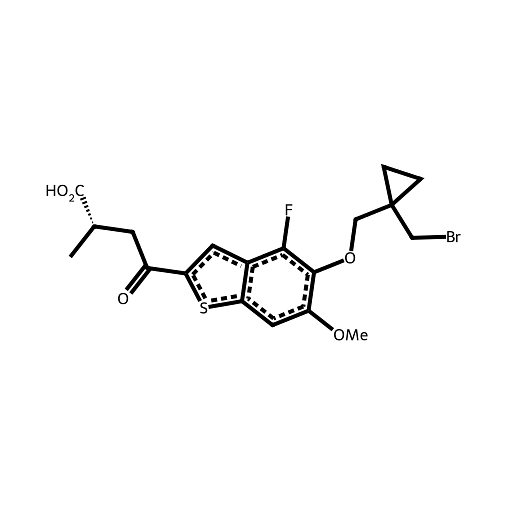 COc1cc2sc(C(=O)C[C@H](C)C(=O)O)cc2c(F)c1OCC1(CBr)CC1